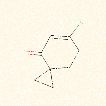 O=C1C=C(Cl)CCC12CC2